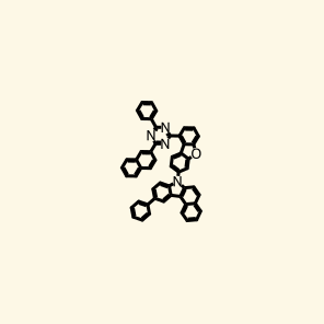 c1ccc(-c2ccc3c(c2)c2c4ccccc4ccc2n3-c2ccc3c(c2)oc2cccc(-c4nc(-c5ccccc5)nc(-c5ccc6ccccc6c5)n4)c23)cc1